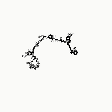 CC[N+]1=C(/C=C/C=C/C=C2/N(CCCC(=O)NCCNC(=O)c3cccc(OCC(N=[N+]=[N-])OCCOCC(=O)NCC#Cc4cn([C@H]5C[C@@H](OCN=[N+]=[N-])[C@@H](COP(=O)(O)OP(=O)(O)OP(=O)(O)O)O5)c5nc(N)[nH]c(=O)c45)c3)c3ccc(S(=O)(=O)O)cc3C2(C)C)C(C)(C)c2ccccc21